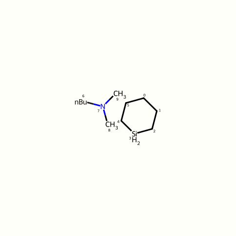 C1CC[SiH2]CC1.CCCCN(C)C